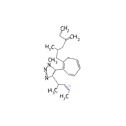 C=CC(=C)CC(C)CC1=C(C2C(C(C)/C=C\C)N=NN2C)C=CC=CC1